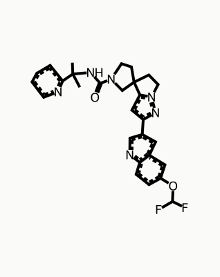 CC(C)(NC(=O)N1CCC2(CCn3nc(-c4cnc5ccc(OC(F)F)cc5c4)cc32)C1)c1ccccn1